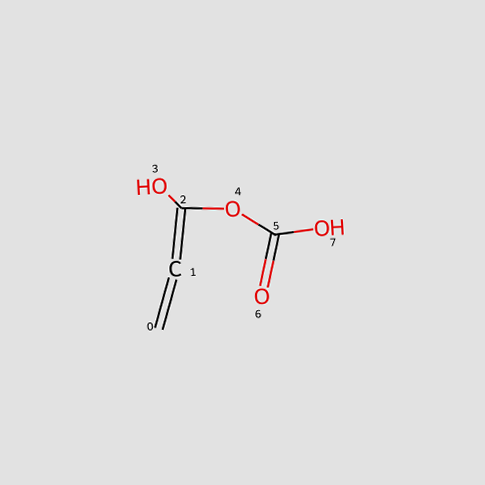 C=C=C(O)OC(=O)O